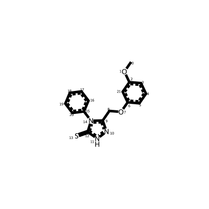 COc1cccc(OCc2n[nH]c(=S)n2-c2ccccc2)c1